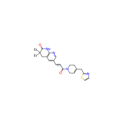 CCC1(CC)Cc2cc(/C=C/C(=O)N3CC=C(Cc4nccs4)CC3)cnc2NC1=O